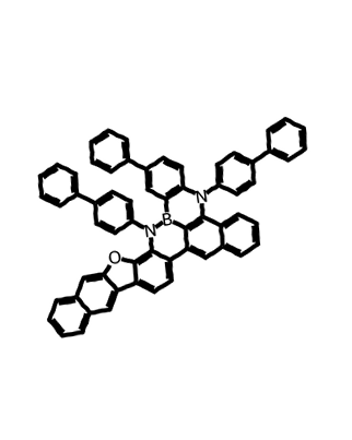 c1ccc(-c2ccc(N3B4c5cc(-c6ccccc6)ccc5N(c5ccc(-c6ccccc6)cc5)c5c4c(cc4ccccc54)-c4ccc5c(oc6cc7ccccc7cc65)c43)cc2)cc1